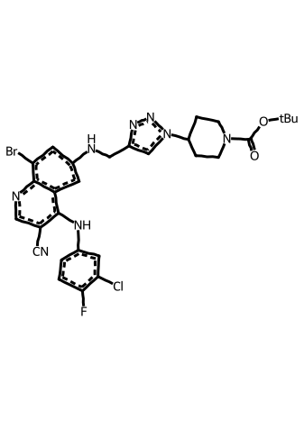 CC(C)(C)OC(=O)N1CCC(n2cc(CNc3cc(Br)c4ncc(C#N)c(Nc5ccc(F)c(Cl)c5)c4c3)nn2)CC1